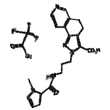 Cn1cccc1C(=O)NCCCn1nc2c(c1C(=O)O)CCc1cnccc1-2.O=C(O)C(F)(F)F